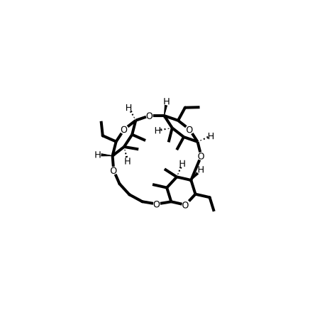 CCC1OC2OCCCO[C@@H]3C(CC)O[C@@H](O[C@@H]4C(CC)O[C@@H](O[C@H]1[C@H](C)C2C)C(C)[C@H]4C)C(C)[C@H]3C